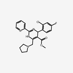 COC(=O)C1=C(CN2CCCC2)NC(c2ccccn2)=NC1c1ccc(F)cc1Cl